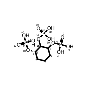 O=P(O)(O)OC1CCC[C@H](OP(=O)(O)O)C1OP(=O)(O)O